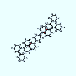 C(=C(/B(c1ccccc1)c1ccccc1)c1ccccc1)/c1ccc(-c2ccc(-c3ccc(/C=C(\B(c4ccccc4)c4ccccc4)c4ccccc4)nc3)cc2)cn1